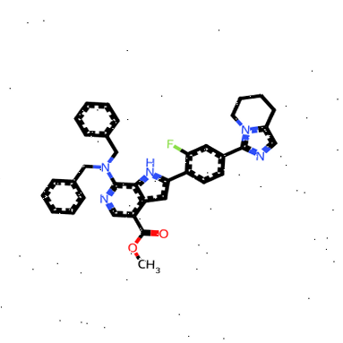 COC(=O)c1cnc(N(Cc2ccccc2)Cc2ccccc2)c2[nH]c(-c3ccc(-c4ncc5n4CCCC5)cc3F)cc12